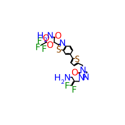 NCC(Cn1ncn(Cc2ccc(-c3ccc4nc(C(OC(=O)C(F)(F)F)C(N)=O)sc4c3)s2)c1=O)=C(F)F